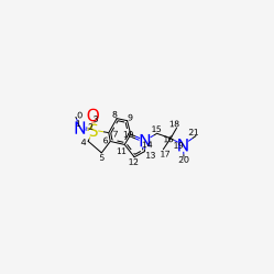 CN=S1(=O)CCc2c1ccc1c2ccn1CC(C)(C)N(C)C